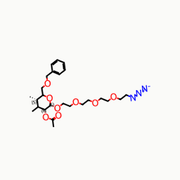 CC(=O)O[C@@H]1C(C)[C@H](C)C(COCc2ccccc2)O[C@@H]1OCCOCCOCCOCCN=[N+]=[N-]